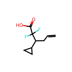 C=CCC(C1CC1)C(F)(F)C(=O)O